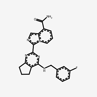 NC(=O)c1cccn2c(-c3nc4c(c(NCc5cccc(F)c5)n3)CCC4)ncc12